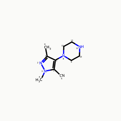 Cc1nn(C)c(C#N)c1N1CCNCC1